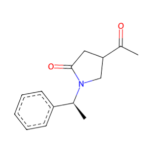 CC(=O)C1CC(=O)N([C@@H](C)c2ccccc2)C1